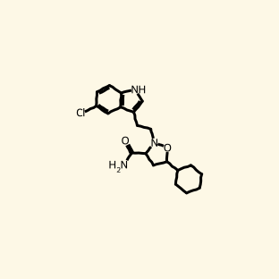 NC(=O)C1CC(C2CCCCC2)ON1CCc1c[nH]c2ccc(Cl)cc12